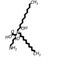 CCCCCCCCCC[C@H](O)CN(C[C@@H](O)CCCCCCCCCC)[C@@H](CCCCN)C(=O)O